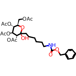 CC(=O)OC[C@H]1O[C@](O)(CCCCCCNC(=O)OCc2ccccc2)[C@H](OC(C)=O)[C@@H](OC(C)=O)[C@@H]1OC(C)=O